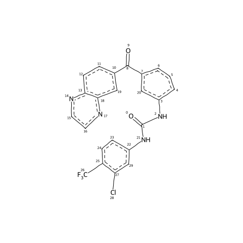 O=C(Nc1cccc(C(=O)c2ccc3nccnc3c2)c1)Nc1ccc(C(F)(F)F)c(Cl)c1